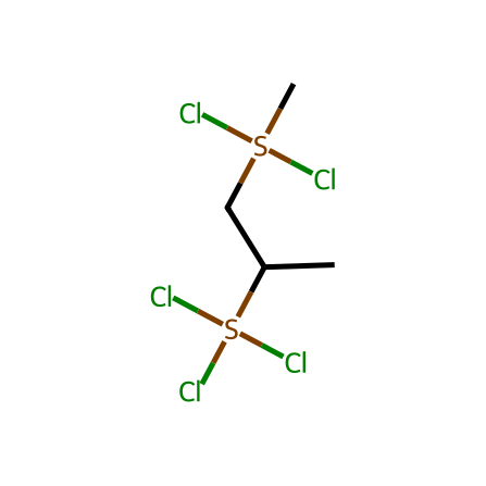 CC(CS(C)(Cl)Cl)S(Cl)(Cl)Cl